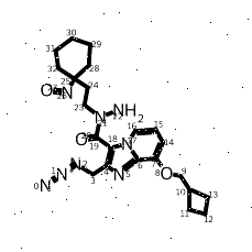 [N-]=[N+]=NCc1nc2c(OCC3CCC3)cccn2c1C(=O)N(N)CCC1(N=O)CCCCC1